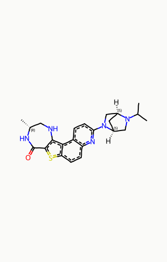 CC(C)N1C[C@@H]2C[C@H]1CN2c1ccc2c(ccc3sc4c(c32)NC[C@@H](C)NC4=O)n1